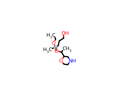 CCO[Si](C)(CCCO)OC(C)C1CNCCO1